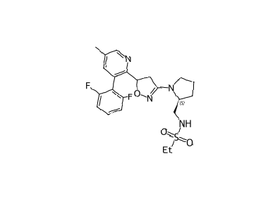 CCS(=O)(=O)NC[C@@H]1CCCN1C1=NOC(c2ncc(C)cc2-c2c(F)cccc2F)C1